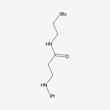 CC(C)NCCC(=O)NCCC(C)(C)C